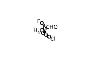 C[C@@H]1CN(Cc2ccc(F)cc2)[C@H](C=O)CN1C(=O)COc1ccc(Cl)cc1